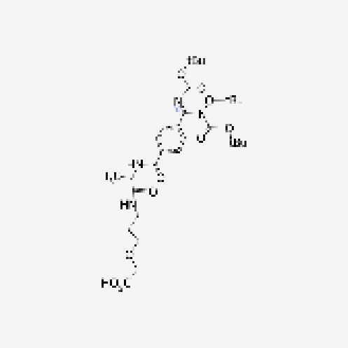 CC(NC(=O)c1ccc(/C(=N/C(=O)OC(C)(C)C)N(OC(C)(C)C)C(=O)OC(C)(C)C)cc1)C(=O)NCCCOCC(=O)O